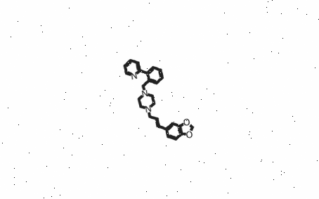 C(=Cc1ccc2c(c1)OCO2)CN1CCN(Cc2ccccc2-c2ccccn2)CC1